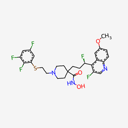 COc1ccc2ncc(F)c([C@H](F)CCC3(C(=O)NO)CCN(CCSc4cc(F)cc(F)c4F)CC3)c2c1